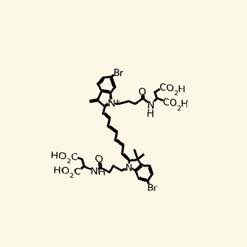 C=C1C(/C=C/C=C/C=C/C=C2/N(CCCC(=O)NC(CC(=O)O)C(=O)O)c3cc(Br)ccc3C2(C)C)=[N+](CCCC(=O)NC(CC(=O)O)C(=O)O)c2cc(Br)ccc21